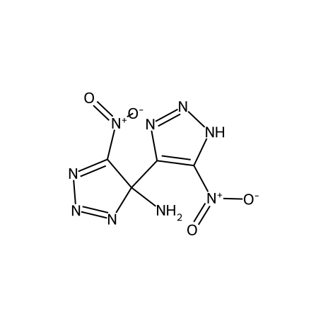 NC1(c2nn[nH]c2[N+](=O)[O-])N=NN=C1[N+](=O)[O-]